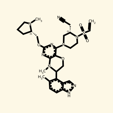 C=CS(=O)(=O)N1CCN(c2nc(OC[C@@H]3CCCN3C)nc3c2OCC(c2c(C)ccc4[nH]ncc24)N3C)C[C@@H]1CC#N